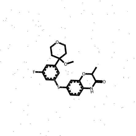 COC1(c2cc(F)cc(Sc3ccc4c(c3)OC(C)C(=O)N4)c2)CCOCC1